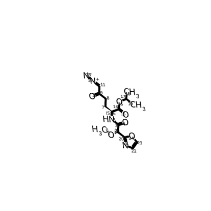 CO[C@H](C(=O)N[C@@H](CCC(=O)C=[N+]=[N-])C(=O)OC(C)C)c1ncco1